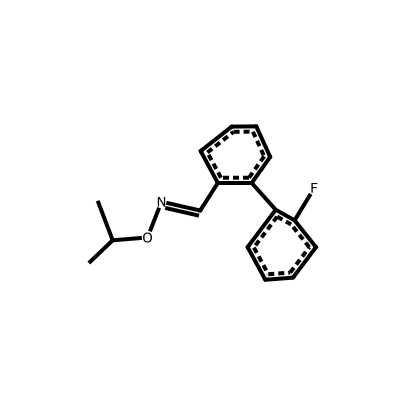 CC(C)O/N=C/c1ccccc1-c1ccccc1F